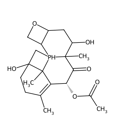 CC(=O)O[C@H]1C(=O)C2(C)C(O)CC3OCC3[PH]23CC2(O)CCC(C)=C1C23C